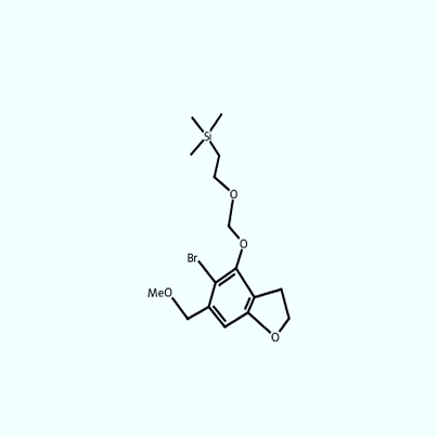 COCc1cc2c(c(OCOCC[Si](C)(C)C)c1Br)CCO2